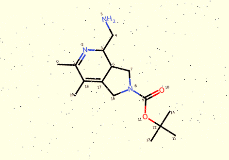 CC1=NC(CN)C2CN(C(=O)OC(C)(C)C)CC2=C1C